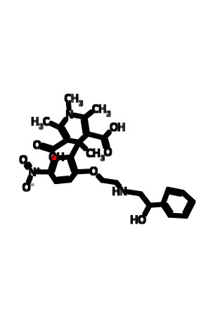 CC1=C(C(=O)O)C(C)(c2cc([N+](=O)[O-])ccc2OCCNCC(O)c2ccccc2)C(C(=O)O)=C(C)N1C